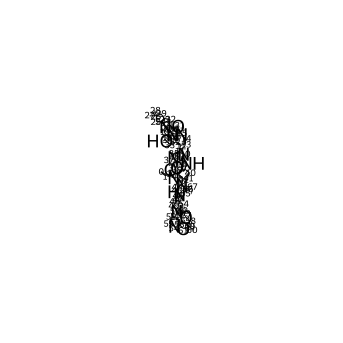 C=CC(=O)Nc1cc(Nc2nc(-c3ccnc(N4CCn5c(cc6c5CC(C)(C)C6)C4=O)c3CO)cn(C)c2=O)ccc1N1CCN(C2CCN(c3ccnc4c3OC[C@@H](C)O4)[C@@H](C)C2)C[C@@H]1C